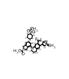 CC(=O)N1Cc2cc([C@H]3CC[C@@H](S(C)(=O)=O)CC3)cc(N3CCCc4cc(-c5cnn(C)c5)c(C(F)F)cc43)c2C1